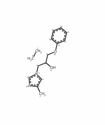 CC.Cc1cn(CC(O)COc2ccccc2)cn1